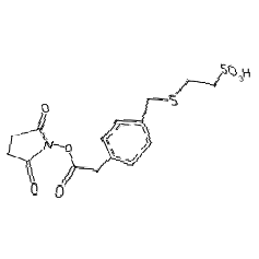 O=C(Cc1ccc(CSCCS(=O)(=O)O)cc1)ON1C(=O)CCC1=O